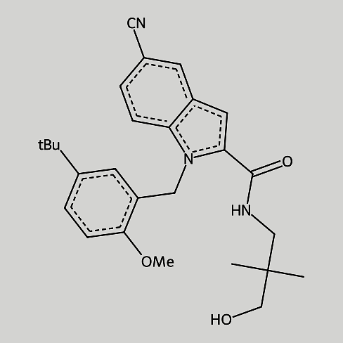 COc1ccc(C(C)(C)C)cc1Cn1c(C(=O)NCC(C)(C)CO)cc2cc(C#N)ccc21